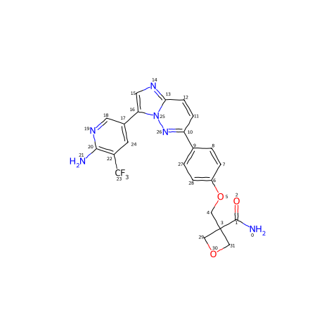 NC(=O)C1(COc2ccc(-c3ccc4ncc(-c5cnc(N)c(C(F)(F)F)c5)n4n3)cc2)COC1